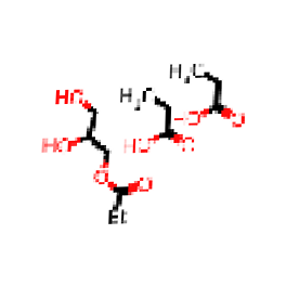 CCC(=O)O.CCC(=O)O.CCC(=O)OCC(O)CO